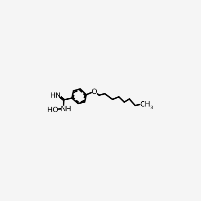 CCCCCCCCOc1ccc(C(=N)NO)cc1